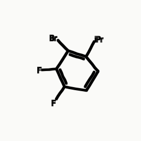 CC(C)c1ccc(F)c(F)c1Br